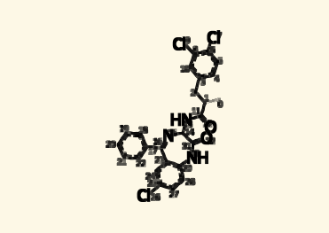 C[C@@H](Cc1ccc(Cl)c(Cl)c1)C(=O)NC1N=C(c2ccccc2)c2cc(Cl)ccc2NC1=O